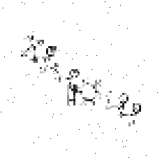 CC(=O)CC(=O)CCc1ccc(NC(=O)CCCC(=O)CC(C)(C)C)cc1